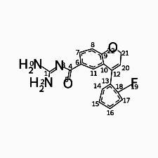 NC(N)=NC(=O)c1ccc2c(c1)C(c1ccccc1F)=CCO2